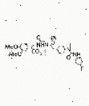 COc1ccc([C@@H](CNC(=O)[C@H](CC(C)C)NC(=O)Cc2ccc(NC(=O)Nc3ccc(F)cc3)cc2)C(=O)O)cc1OC